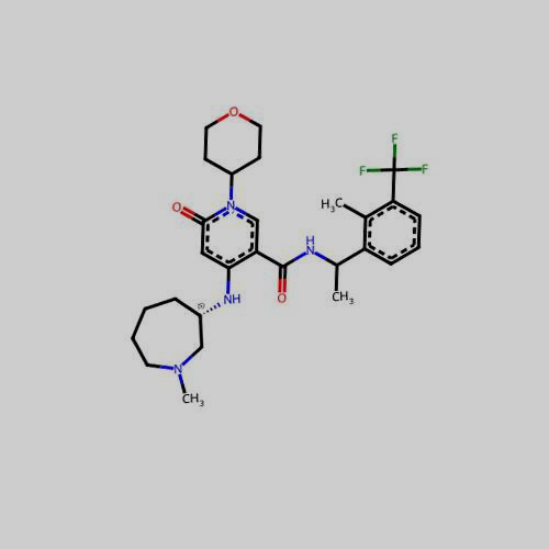 Cc1c(C(C)NC(=O)c2cn(C3CCOCC3)c(=O)cc2N[C@H]2CCCCN(C)C2)cccc1C(F)(F)F